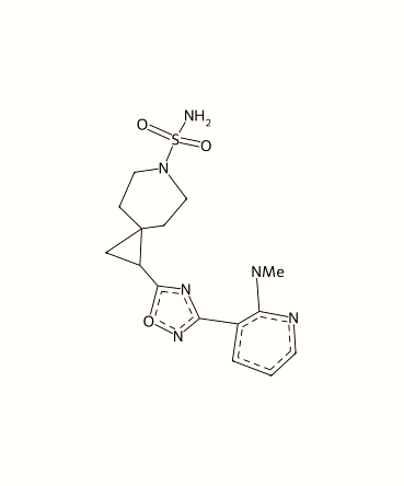 CNc1ncccc1-c1noc(C2CC23CCN(S(N)(=O)=O)CC3)n1